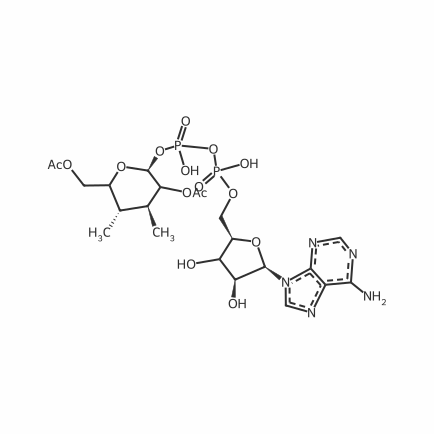 CC(=O)OCC1O[C@@H](OP(=O)(O)OP(=O)(O)OC[C@H]2O[C@@H](n3cnc4c(N)ncnc43)[C@@H](O)C2O)C(OC(C)=O)[C@@H](C)[C@@H]1C